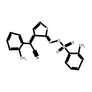 Cc1ccccc1/C(C#N)=C1\C=CS\C1=N/OS(=O)(=O)c1ccccc1C